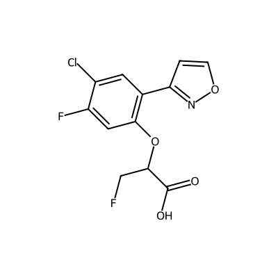 O=C(O)C(CF)Oc1cc(F)c(Cl)cc1-c1ccon1